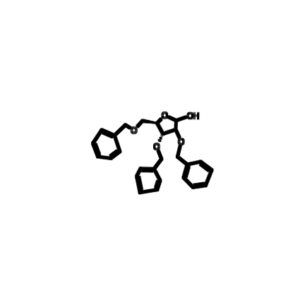 OC1O[C@H](COCc2ccccc2)[C@@H](OCc2ccccc2)C1OCc1ccccc1